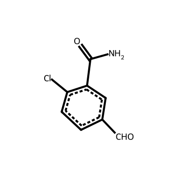 NC(=O)c1cc(C=O)ccc1Cl